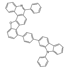 c1ccc(-c2nc3ccccc3c3c2ccc2c3oc3cccc(-c4ccc(-c5ccc6c7ccccc7n(-c7ccccc7)c6c5)cc4)c32)cc1